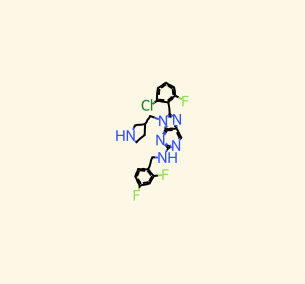 Fc1ccc(CNc2ncc3nc(-c4c(F)cccc4Cl)n(CC4CCNC4)c3n2)c(F)c1